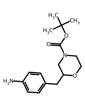 CC(C)(C)OC(=O)N1CCOC(Cc2ccc(N)cc2)C1